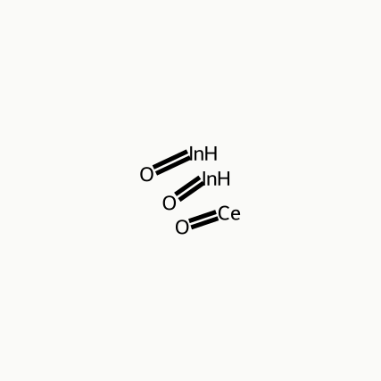 [O]=[Ce].[O]=[InH].[O]=[InH]